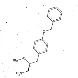 CC(C)(C)O[C@H](CN)Cc1ccc(OCc2ccccc2)cc1